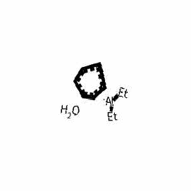 C[CH2][Al][CH2]C.O.c1ccccc1